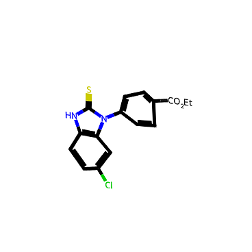 CCOC(=O)c1ccc(-n2c(=S)[nH]c3ccc(Cl)cc32)cc1